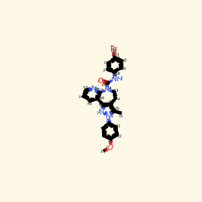 COc1ccc(-n2nc3c(c2C)CCN(C(=O)Nc2ccc(Br)cc2)c2ncccc2-3)cc1